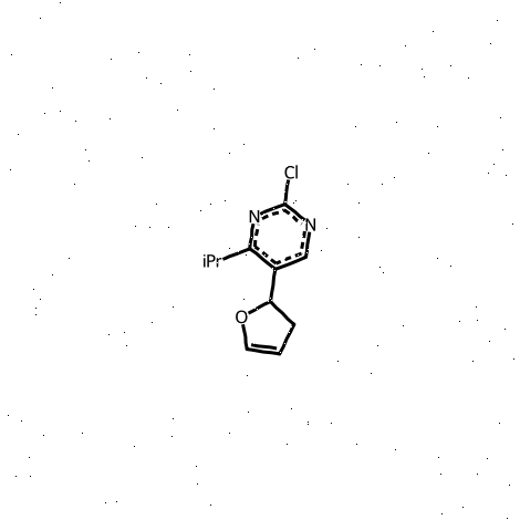 CC(C)c1nc(Cl)ncc1C1CC=CO1